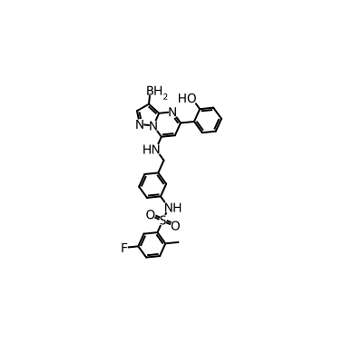 Bc1cnn2c(NCc3cccc(NS(=O)(=O)c4cc(F)ccc4C)c3)cc(-c3ccccc3O)nc12